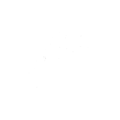 Cc1cn(Cc2ccccc2)c(=O)c2c1C(=CC(=O)O)OCC2